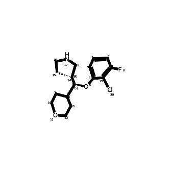 Fc1cccc(O[C@@H](C2CCOCC2)[C@@H]2CCNC2)c1Cl